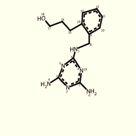 Nc1nc(N)nc(NCc2ccccc2CCCO)n1